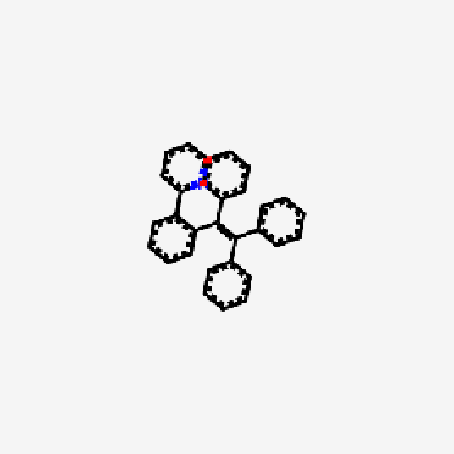 c1ccc(C(=C(c2ccccc2)c2ccccc2-c2ccccn2)c2ccccc2)cc1